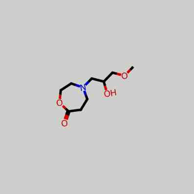 COCC(O)CN1CCOC(=O)CC1